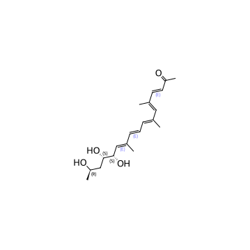 CC(=O)/C=C/C(C)=CC(C)=C/C=C/C(C)=C/[C@H](O)[C@@H](O)C[C@@H](C)O